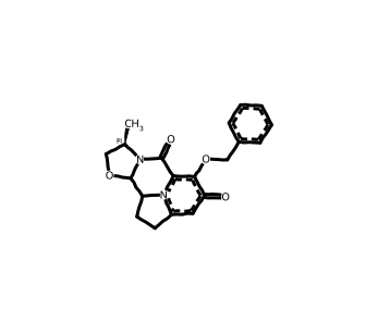 C[C@@H]1COC2C3CCc4cc(=O)c(OCc5ccccc5)c(n43)C(=O)N21